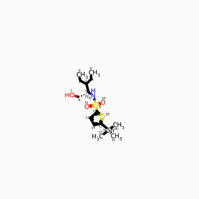 CCC(CC)[C@@H](CO)NS(=O)(=O)c1cc[c]([Sn]([CH3])([CH3])[CH3])s1